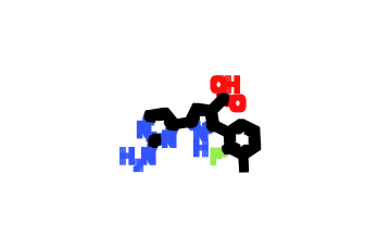 Cc1cccc(-c2[nH]c(-c3ccnc(N)n3)cc2C(=O)O)c1F